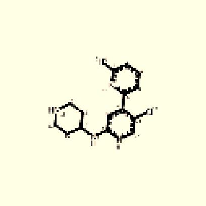 [2H]c1cccc(-c2cc(NC3CCNCC3)ncc2Cl)n1